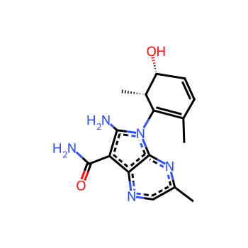 CC1=C(n2c(N)c(C(N)=O)c3ncc(C)nc32)[C@H](C)[C@H](O)C=C1